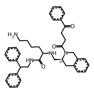 NCCCCC(NC[C@@H]1Cc2ccccc2CN1C(=O)CCC(=O)c1ccccc1)C(=O)NCC(c1ccccc1)c1ccccc1